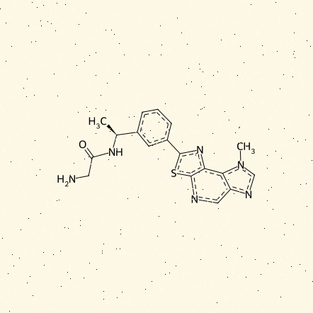 C[C@H](NC(=O)CN)c1cccc(-c2nc3c(ncc4ncn(C)c43)s2)c1